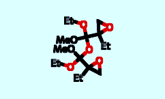 CCOC(OC)(OC(OC)(OCC)C1(CC)CO1)C1(CC)CO1